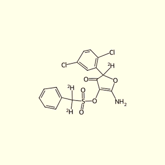 [2H]C1(c2cc(Cl)ccc2Cl)OC(N)=C(OS(=O)(=O)C([2H])([2H])c2ccccc2)C1=O